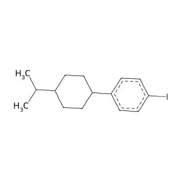 CC(C)C1CCC(c2ccc(I)cc2)CC1